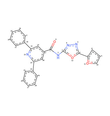 O=C(Nc1nnc(-c2ccco2)o1)c1cc(-c2ccccc2)nc(-c2ccccc2)c1